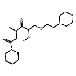 CNC(COCCN1CCOCC1)C(=O)N(C)CC(=O)N1CCCCC1